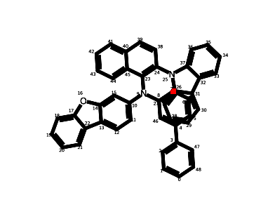 c1ccc(-c2cccc(N(c3ccc4c(c3)oc3ccccc34)c3c(-n4c5ccccc5c5ccccc54)ccc4ccccc34)c2)cc1